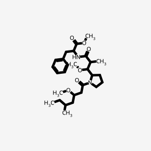 CCC(C)CC(CC(=O)N1CCCC1C(OC)C(C)C(=O)NC(Cc1ccccc1)C(=O)OC)OC